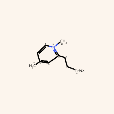 CCCCCCCCc1cc(C)cc[n+]1C